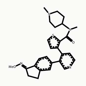 CON=C1CCc2cc(-c3cnccc3-c3ccsc3C(=O)N(C)C3CCN(C)CC3)ccc21